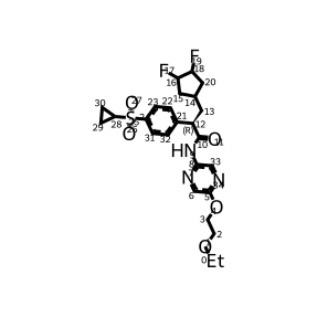 CCOCCOc1cnc(NC(=O)[C@H](CC2CC(F)C(F)C2)c2ccc(S(=O)(=O)C3CC3)cc2)cn1